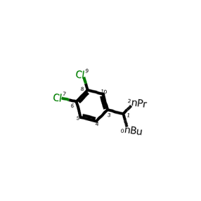 CCCCC(CCC)c1ccc(Cl)c(Cl)c1